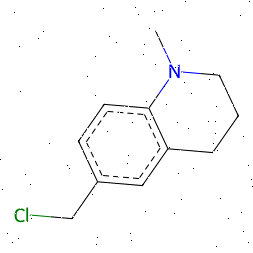 CN1CCCc2cc(CCl)ccc21